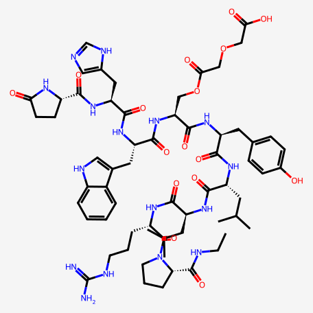 CCNC(=O)[C@@H]1CCCN1C(=O)[C@H](CCCNC(=N)N)NC(=O)[C@H](CC(C)C)NC(=O)[C@@H](CC(C)C)NC(=O)[C@H](Cc1ccc(O)cc1)NC(=O)[C@H](COC(=O)COCC(=O)O)NC(=O)[C@H](Cc1c[nH]c2ccccc12)NC(=O)[C@H](Cc1cnc[nH]1)NC(=O)[C@@H]1CCC(=O)N1